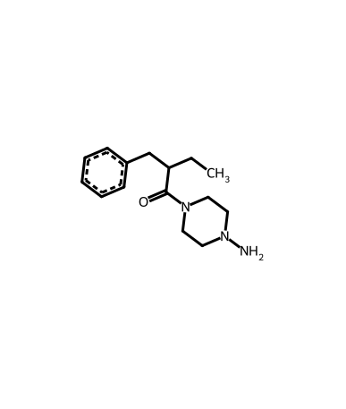 CCC(Cc1ccccc1)C(=O)N1CCN(N)CC1